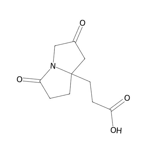 O=C(O)CCC12CCC(=O)N1CC(=O)C2